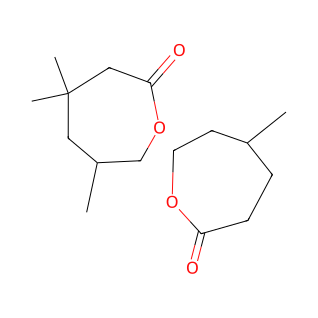 CC1CCOC(=O)CC1.CC1COC(=O)CC(C)(C)C1